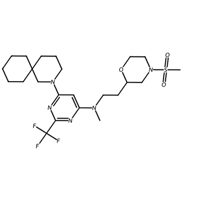 CN(CCC1CN(S(C)(=O)=O)CCO1)c1cc(N2CCCC3(CCCCC3)C2)nc(C(F)(F)F)n1